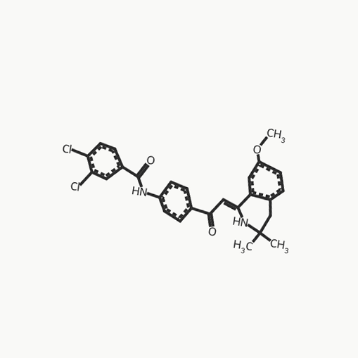 COc1ccc2c(c1)C(=CC(=O)c1ccc(NC(=O)c3ccc(Cl)c(Cl)c3)cc1)NC(C)(C)C2